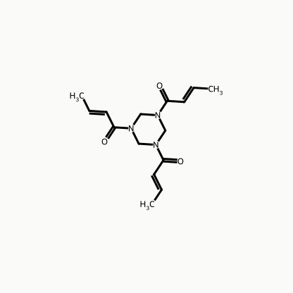 CC=CC(=O)N1CN(C(=O)C=CC)CN(C(=O)C=CC)C1